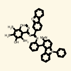 Bc1c(B)c(O)c(/C(N=C)=N/C(=N\c2ccccc2-c2c(NC)ccc3c2c2ccccc2n3-c2ccccc2)c2ccc3c(c2)oc2ccccc23)c(B)c1O